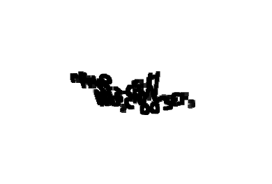 CCCCNC(=O)CCC(Sc1nnn[nH]1)C1=C(C(=O)O)N2C(=O)C(NC(=O)CSC(F)(F)F)[C@@H]2SC1